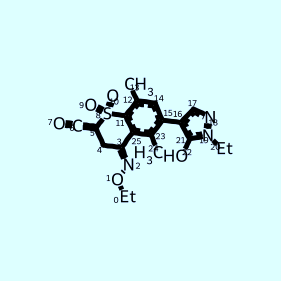 CCON=C1CC(=C=O)S(=O)(=O)c2c(C)cc(-c3cnn(CC)c3O)c(C)c21